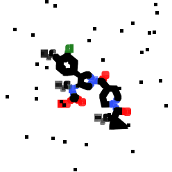 Cc1ccc([C@H]2CN(C(=O)C3CCN(C(=O)C4(C)CC4)CC3)C[C@@H]2N(C)C(=O)O)cc1Cl